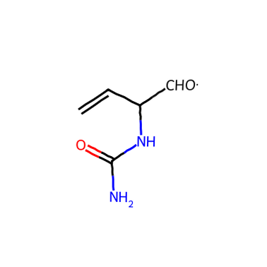 C=CC([C]=O)NC(N)=O